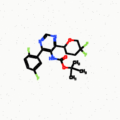 CC(C)(C)OC(=O)Nc1c(-c2cc(F)ccc2F)ncnc1C1CCC(F)(F)CO1